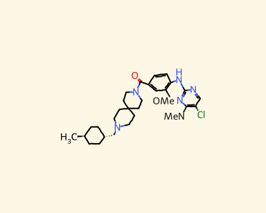 CNc1nc(Nc2ccc(C(=O)N3CCC4(CCN(C[C@H]5CC[C@H](C)CC5)CC4)CC3)cc2OC)ncc1Cl